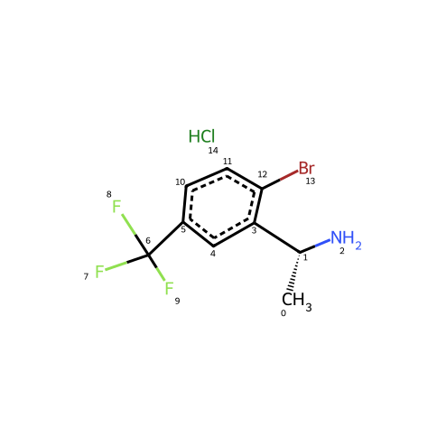 C[C@@H](N)c1cc(C(F)(F)F)ccc1Br.Cl